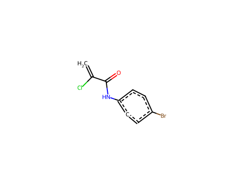 C=C(Cl)C(=O)Nc1ccc(Br)cc1